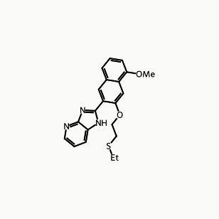 CCSCCOc1cc2c(OC)cccc2cc1-c1nc2ncccc2[nH]1